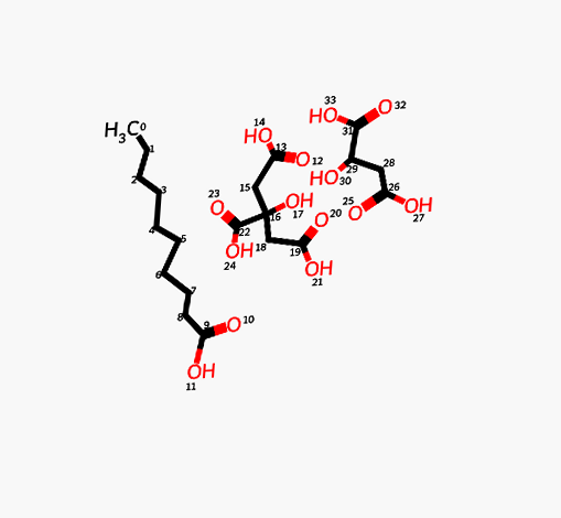 CCCCCCCCCC(=O)O.O=C(O)CC(O)(CC(=O)O)C(=O)O.O=C(O)CC(O)C(=O)O